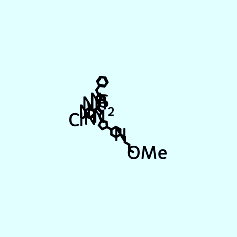 COCCCCN1CCC(C2CCC(n3cc(-c4nc(Cc5ccccc5)cs4)c4c(N)nc(Cl)nc43)C2)CC1